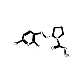 CC(C)(C)OC(=O)N1CCC[C@H]1COc1ccc(Cl)nc1F